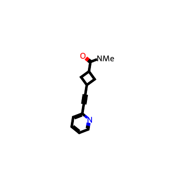 CNC(=O)C1CC(C#Cc2ccccn2)C1